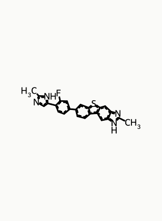 Cc1ncc(-c2ccc(-c3ccc4c(c3)sc3cc5nc(C)[nH]c5cc34)cc2F)[nH]1